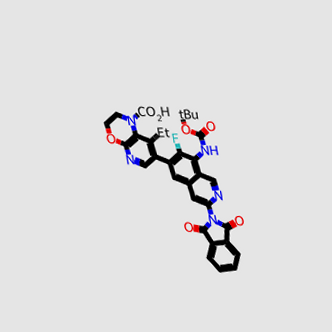 CCc1c(-c2cc3cc(N4C(=O)c5ccccc5C4=O)ncc3c(NC(=O)OC(C)(C)C)c2F)cnc2c1N(C(=O)O)CCO2